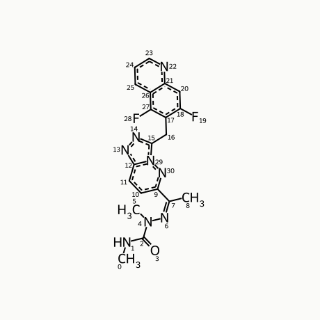 CNC(=O)N(C)/N=C(/C)c1ccc2nnc(Cc3c(F)cc4ncccc4c3F)n2n1